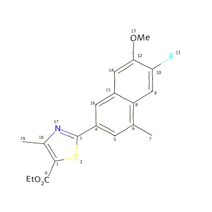 CCOC(=O)c1sc(-c2cc(C)c3cc(F)c(OC)cc3c2)nc1C